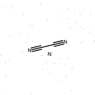 N#CC#N.[N]